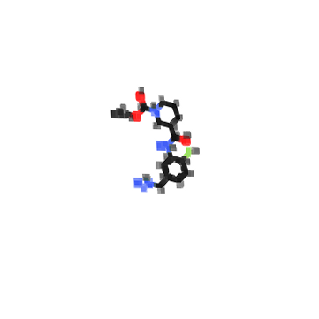 CCCCOC(=O)N1CCCC(C(=O)Nc2cc(CN)ccc2F)C1